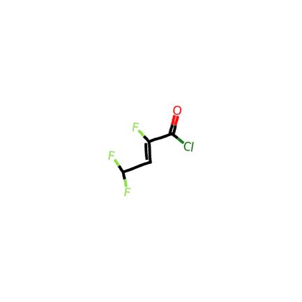 O=C(Cl)C(F)=CC(F)F